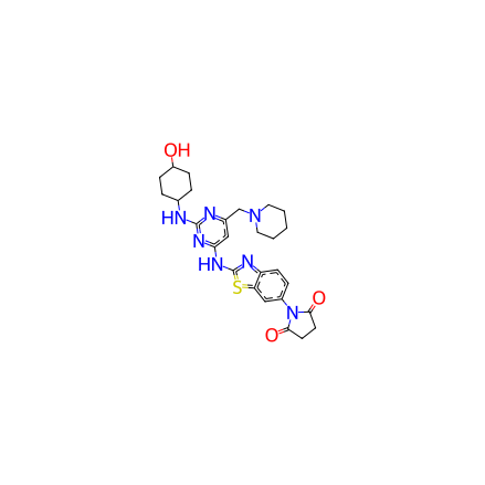 O=C1CCC(=O)N1c1ccc2nc(Nc3cc(CN4CCCCC4)nc(NC4CCC(O)CC4)n3)sc2c1